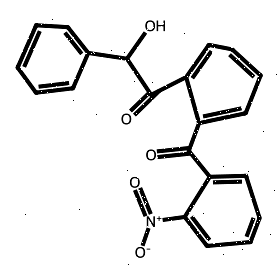 O=C(c1ccccc1C(=O)C(O)c1ccccc1)c1ccccc1[N+](=O)[O-]